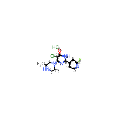 C[C@H]1CN[C@@H](C(F)(F)F)CN1c1nc(-c2ccnc(F)c2)[nH]c(=O)c1Cl.Cl